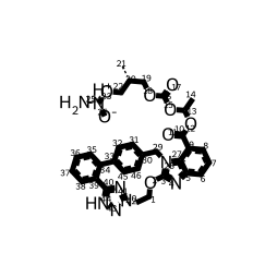 CCOc1nc2cccc(C(=O)OC(C)OC(=O)OC[C@@H](C)CO[N@@H+](N)[O-])c2n1Cc1ccc(-c2ccccc2-c2nnn[nH]2)cc1